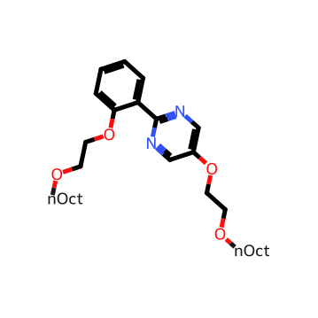 CCCCCCCCOCCOc1cnc(-c2ccccc2OCCOCCCCCCCC)nc1